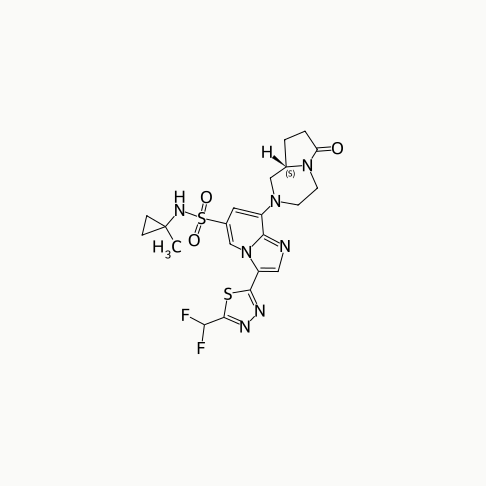 CC1(NS(=O)(=O)c2cc(N3CCN4C(=O)CC[C@H]4C3)c3ncc(-c4nnc(C(F)F)s4)n3c2)CC1